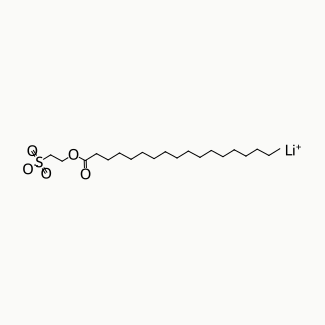 CCCCCCCCCCCCCCCCCC(=O)OCCS(=O)(=O)[O-].[Li+]